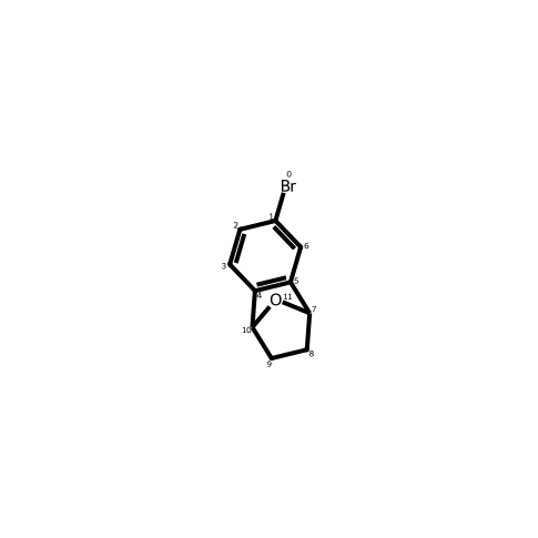 Brc1ccc2c(c1)C1CCC2O1